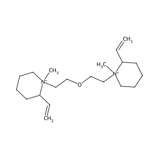 C=CC1CCCC[N+]1(C)CCOCC[N+]1(C)CCCCC1C=C